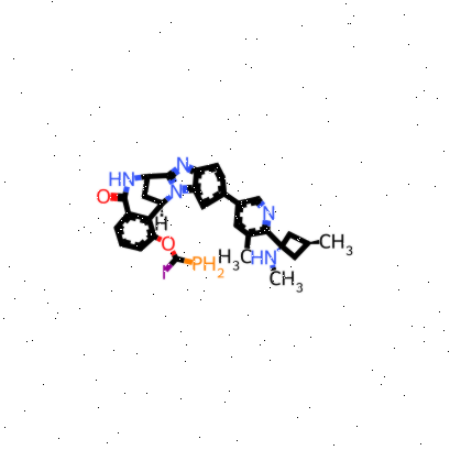 CN[C@]1(c2ncc(-c3ccc4nc5n(c4c3)[C@@H]3CC5NC(=O)c4cccc(OC(P)I)c43)cc2C)C[C@@H](C)C1